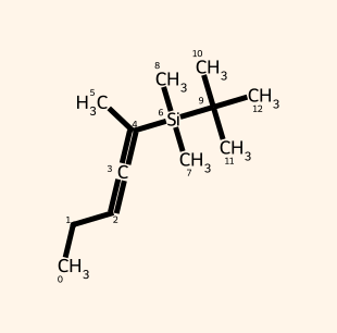 CCC=C=C(C)[Si](C)(C)C(C)(C)C